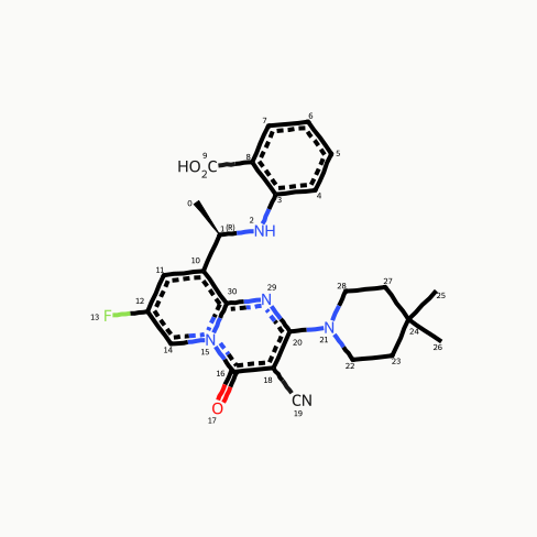 C[C@@H](Nc1ccccc1C(=O)O)c1cc(F)cn2c(=O)c(C#N)c(N3CCC(C)(C)CC3)nc12